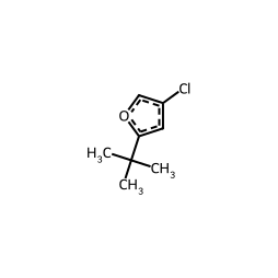 CC(C)(C)c1cc(Cl)co1